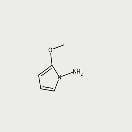 COc1cccn1N